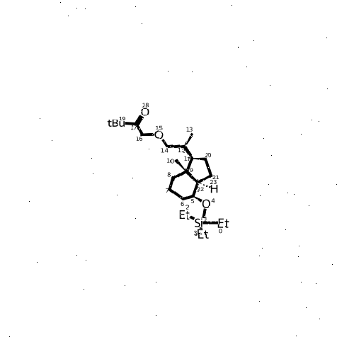 CC[Si](CC)(CC)O[C@H]1CCC[C@]2(C)[C@@H]([C@H](C)COCC(=O)C(C)(C)C)CC[C@@H]12